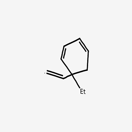 [CH]=CC1(CC)C=CC=CC1